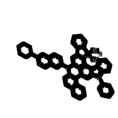 CC1(C)c2ccccc2-c2cc(N(c3ccc4cc(C5CCCCC5)ccc4c3)c3ccc4ccccc4c3-c3ccc4c5ccccc5n(-c5ccccc5)c4c3)ccc21